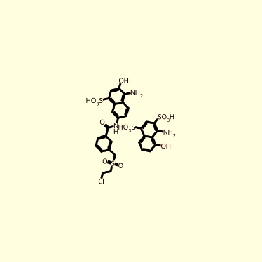 Nc1c(O)cc(S(=O)(=O)O)c2cc(NC(=O)c3cccc(CS(=O)(=O)CCCl)c3)ccc12.Nc1c(S(=O)(=O)O)cc(S(=O)(=O)O)c2cccc(O)c12